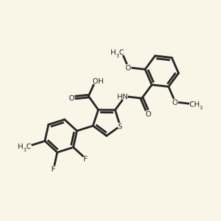 COc1cccc(OC)c1C(=O)Nc1scc(-c2ccc(C)c(F)c2F)c1C(=O)O